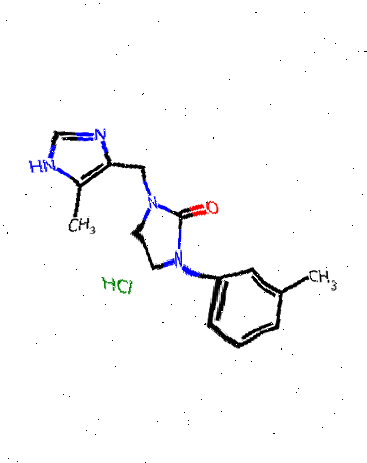 Cc1cccc(N2CCN(Cc3nc[nH]c3C)C2=O)c1.Cl